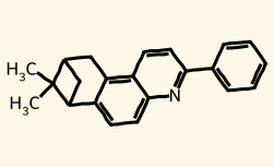 CC1(C)C2Cc3c(ccc4nc(-c5ccccc5)ccc34)C1C2